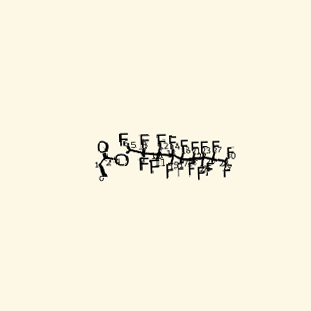 C=CC(=O)OC(F)C(F)(F)C(F)(F)C(F)(F)C(F)(F)C(F)(F)C(F)(F)C(F)(F)C(F)F